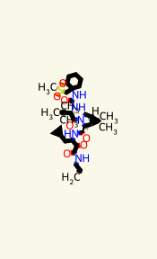 C=CCNC(=O)C(=O)C(CC1CC1)NC(=O)[C@@H]1C2[C@H](CN1C(=O)[C@@H](NC(=O)NC1(CS(C)(=O)=O)CCCCC1)C(C)(C)C)C2(C)C